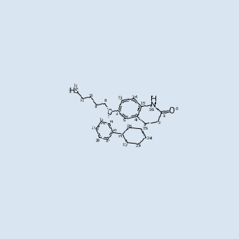 O=C1CCc2cc(OCCCCS)ccc2N1.c1ccc(C2CCCCC2)cc1